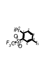 CC(C)c1ccc(I)cc1S(=O)(=O)C(F)(F)F